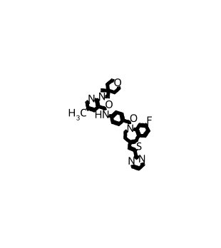 Cc1cnc(N2CC3(CCOCC3)C2)c(C(=O)Nc2ccc(C(=O)N3CCc4cc(-c5ncccn5)sc4-c4ccc(F)cc43)cc2)c1